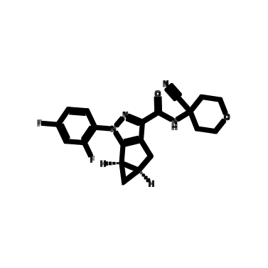 N#CC1(NC(=O)c2nn(-c3ccc(F)cc3F)c3c2C[C@H]2C[C@@H]32)CCOCC1